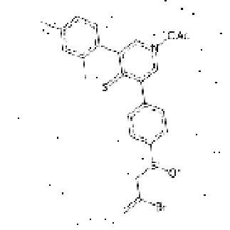 C=C(Br)C[S+]([O-])c1ccc(-c2cn(OC(C)=O)cc(-c3ccc(C)cc3C)c2=S)cc1